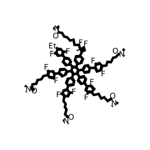 CCc1cc(F)c(-c2ccc(-c3c(-c4ccc(C5=CC(F)[C@@]5(C)[C@@H](F)CCCCCCC(=O)N(C)C)cc4)c(-c4ccc(-c5cc(F)c(CCCCCC(=O)N(C)C)cc5F)cc4)c(-c4ccc(-c5cc(F)c(CCCCCC(=O)N(C)C)cc5F)cc4)c(-c4ccc(-c5cc(F)c(CCCCCC(=O)N(C)C)cc5F)cc4)c3-c3ccc(-c4cc(F)c(CCCCCC(=O)N(C)C)cc4F)cc3)cc2)cc1F